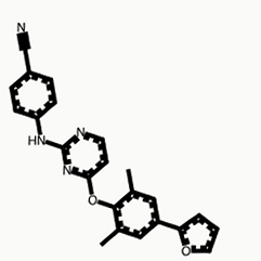 Cc1cc(-c2ccco2)cc(C)c1Oc1ccnc(Nc2ccc(C#N)cc2)n1